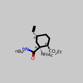 C=C[C@@H]1CC[C@@H](C(=O)OCC)[C@@](NC(C)=O)(C(=O)NCCCC)C1